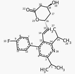 CC(C)c1cc(-c2ccc(F)cc2)c(/C=C/[C@H]2C[C@H](O)CC(=O)O2)c(C(C)C)n1